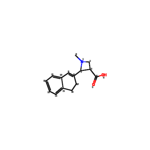 CN1CC(C(=O)O)C1C1=Cc2ccccc2CC1